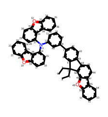 CCC1(CC)c2cc(-c3cccc(N(c4cccc5oc6ccccc6c45)c4cccc5oc6ccccc6c45)c3)ccc2-c2ccc3c(oc4ccccc43)c21